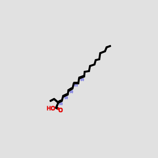 CCCCCCCCCC/C=C/C=C/C=C/C=C/C=C(\CC)C(=O)O